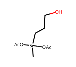 CC(=O)O[Si](C)(CCCO)OC(C)=O